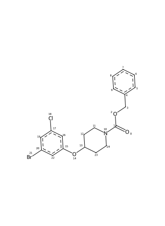 O=C(OCc1ccccc1)N1CCC(Oc2cc(Cl)cc(Br)c2)CC1